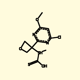 COc1cc(Cl)nc(C2([SH](C)C(O)=S)COC2)n1